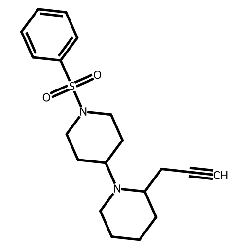 C#CCC1CCCCN1C1CCN(S(=O)(=O)c2ccccc2)CC1